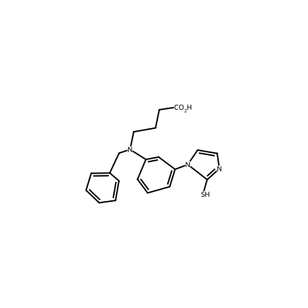 O=C(O)CCCN(Cc1ccccc1)c1cccc(-n2ccnc2S)c1